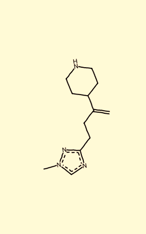 C=C(CCc1ncn(C)n1)C1CCNCC1